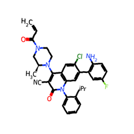 C=CC(=O)N1CCN(c2c(C#N)c(=O)n(-c3ccccc3C(C)C)c3cc(-c4cc(F)ccc4N)c(Cl)cc23)[C@@H](C)C1